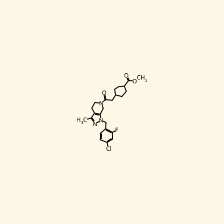 COC(=O)C1CCC(CC(=O)N2CCc3c(C)nn(Cc4ccc(Cl)cc4F)c3C2)CC1